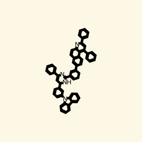 C1=C(C2=NC(c3ccccc3)=CC(c3cccc(-n4c5ccccc5c5ccccc54)c3)N2)C=C(c2ccc3c(ccc4nc(-c5ccccc5)cc(-c5ccccc5)c43)c2)CC1